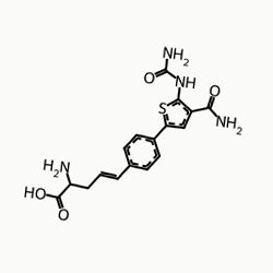 NC(=O)Nc1sc(-c2ccc(C=CCC(N)C(=O)O)cc2)cc1C(N)=O